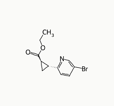 CCOC(=O)[C@@H]1C[C@H]1c1ccc(Br)cn1